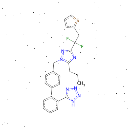 CCCc1nc(C(F)(F)Cc2cccs2)nn1Cc1ccc(-c2ccccc2-c2nnn[nH]2)cc1